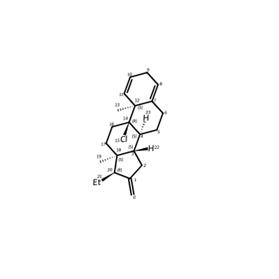 C=C1C[C@H]2[C@@H]3CCC4=CCC=C[C@]4(C)[C@@]3(Cl)CC[C@]2(C)[C@@H]1CC